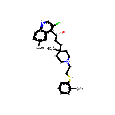 COc1ccc2ncc(Cl)c([C@H](O)CCC3(C(=O)O)CCN(CCSc4ccccc4OC)CC3)c2c1